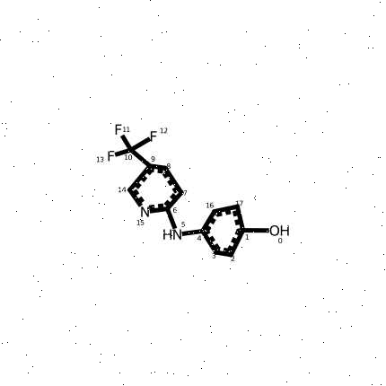 Oc1ccc(Nc2ccc(C(F)(F)F)cn2)cc1